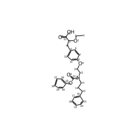 CCOC(Cc1ccc(OCCN(CCCc2ccccc2)C(=O)Oc2ccccc2)cc1)C(=O)O